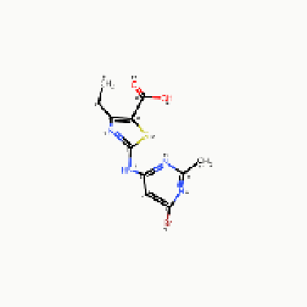 CCc1nc(Nc2cc(Br)nc(C)n2)sc1C(=O)O